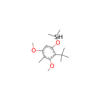 COc1cc(O[SiH](C)C)c(C(C)(C)C)c(OC)c1C